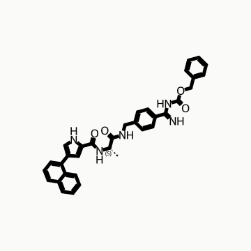 C[C@H](NC(=O)c1cc(-c2cccc3ccccc23)c[nH]1)C(=O)NCc1ccc(C(=N)NC(=O)OCc2ccccc2)cc1